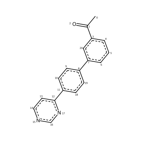 CC(=O)c1cccc(-c2ccc(-c3c[c]ncn3)cc2)c1